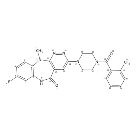 CN1c2ccc(F)cc2NC(=O)c2cc(N3CCN(C(=O)c4ccccc4C(F)(F)F)CC3)nnc21